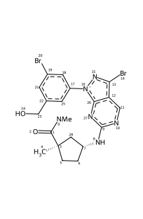 CNC(=O)[C@]1(C)CC[C@@H](Nc2ncc3c(Br)nn(-c4cc(Br)cc(CO)c4)c3n2)C1